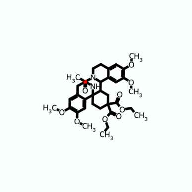 CCOC(=O)C1(C(=O)OCC)CCC2(NCCc3cc(OC)c(OC)cc32)C(C2c3cc(OC)c(OC)cc3CCN2C(C)=O)C1